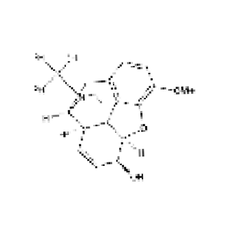 [2H]C([2H])([2H])N1CC[C@]23c4c5ccc(OC)c4O[C@H]2[C@@H](O)C=C[C@H]3[C@H]1C5